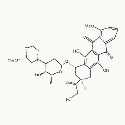 COc1cccc2c1C(=O)c1c(O)c3c(c(O)c1C2=O)C[C@@](O)(C(=O)CO)C[C@@H]3O[C@H]1CC(N2CCO[C@@H](OC)C2)[C@H](O)[C@H](C)O1